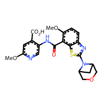 COc1cc(C(=O)O)c(NC(=O)c2c(OC)ccc3nc(N4C5COCC4C5)sc23)cn1